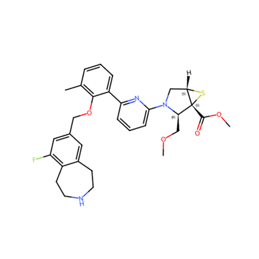 COC[C@H]1N(c2cccc(-c3cccc(C)c3OCc3cc(F)c4c(c3)CCNCC4)n2)C[C@@H]2S[C@@]21C(=O)OC